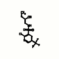 CCC(O)CNS(=O)(=O)c1cc(C(F)(F)F)cnc1Cl